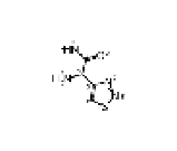 [NH]C(=O)C(N)c1csnn1